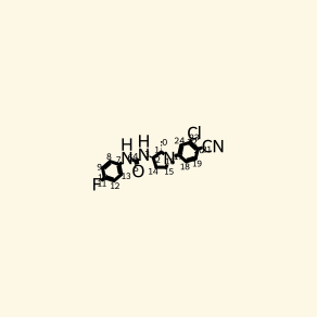 C[C@H]1[C@@H](NC(=O)Nc2ccc(F)cc2)CCN1c1ccc(C#N)c(Cl)c1